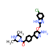 CC1CN(C(=O)c2ccc(-c3cnc(N)c(OCc4nc5ccc(Cl)cc5[nH]4)c3)cc2)CC(C)N1